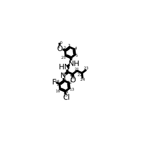 COc1cccc(NN/C(=N/c2ccc(Cl)cc2F)C(=O)CC(C)C)c1